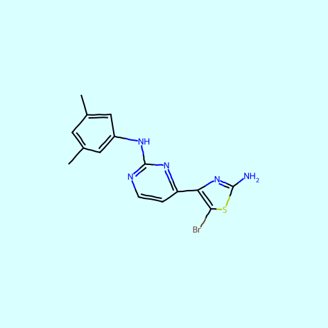 Cc1cc(C)cc(Nc2nccc(-c3nc(N)sc3Br)n2)c1